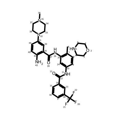 C1COCCN1.Cc1ccc(NC(=O)c2cccc(C(F)(F)F)c2)cc1NC(=O)c1cc(N2CCN(C)CC2)ccc1N